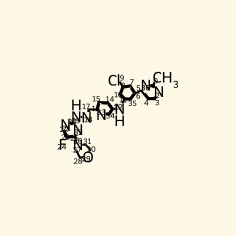 Cc1nccc(-c2cc(Cl)cc(Nc3ccc(/C=N/Nc4ncc(F)c(N5CCOCC5)n4)nc3)c2)n1